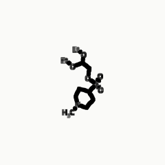 CCOC(COS(=O)(=O)C1CCN(C)CC1)OCC